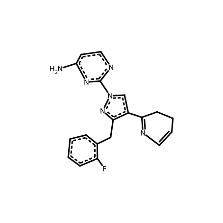 Nc1ccnc(-n2cc(C3=NC=CCC3)c(Cc3ccccc3F)n2)n1